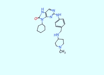 CN1CCC(NCc2ccc(Nc3ncc4[nH]c(=O)n(C5CCCCC5)c4n3)cc2)CC1